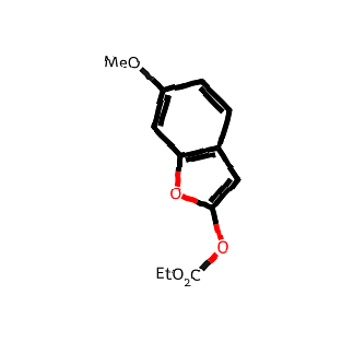 CCOC(=O)Oc1cc2ccc(OC)cc2o1